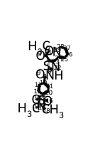 COC(=O)c1sc(NC(=O)c2ccc(S(=O)(=O)N(C)C)cc2)nc1-c1ccccn1